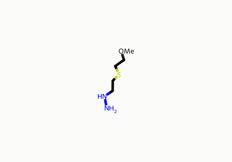 COCCSCCNN